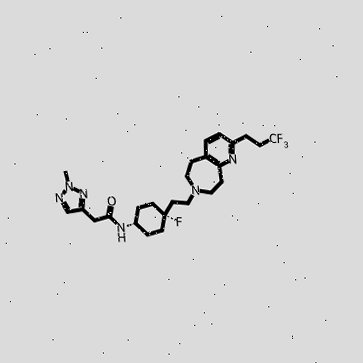 Cn1ncc(CC(=O)N[C@H]2CC[C@](F)(CCN3CCc4ccc(CCC(F)(F)F)nc4CC3)CC2)n1